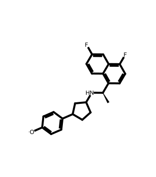 C[C@@H](NC1CCC(c2ccc([O])cc2)C1)c1ccc(F)c2cc(F)ccc12